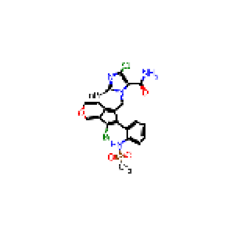 CCCc1nc(Cl)c(C(N)=O)n1Cc1c2ccocc-2c(Br)c1-c1ccccc1NS(=O)(=O)C(F)(F)F